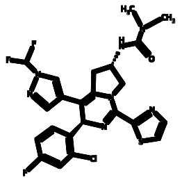 CN(C)C(=O)N[C@H]1CC2=C(c3cnn(C(F)F)c3)[C@H](c3ccc(F)cc3Cl)N=C(c3nccs3)N2C1